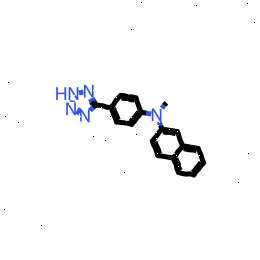 CN(c1ccc(-c2nn[nH]n2)cc1)c1ccc2ccccc2c1